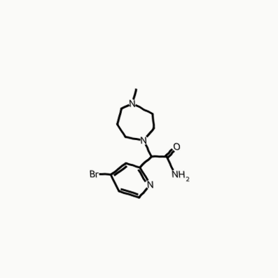 CN1CCCN(C(C(N)=O)c2cc(Br)ccn2)CC1